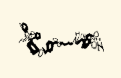 O=C(NC(c1ccccc1)c1cccc(OCCc2ccc(C(=O)OCCCCNCC(O)c3ccc(O)c4[nH]c(=O)ccc34)cc2)c1)OC1CN2CCC1CC2